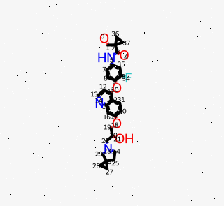 O=CC1(C(=O)Nc2ccc(Oc3ccnc4cc(OCC(O)CN5CCC6(CC6)C5)ccc34)c(F)c2)CC1